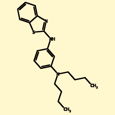 CCCCN(CCCC)c1cccc(Nc2nc3ccccc3s2)c1